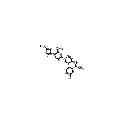 COc1cc(-c2ccc(N[C@@H](C)c3cccc(F)c3)nn2)ccc1-n1cnc(C)c1